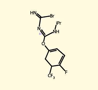 CC(C)N/C(=N\C(=N)Br)OC1=CC=C(F)C(C(F)(F)F)C1